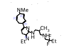 CC/N=C1\CC=C(/C2=C/C=C/C(NC)/C=C\C2)N=C1NCC(C)CNCC(F)(F)CC